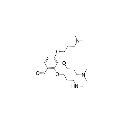 CNCCCOc1c(C=O)ccc(OCCCN(C)C)c1OCCCN(C)C